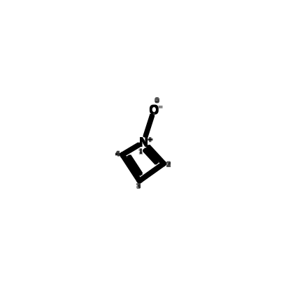 [O-][N+]1=CC=C1